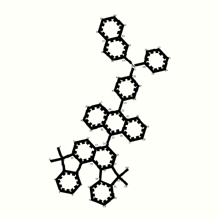 CC1(C)c2ccccc2-c2c1ccc1c(-c3c4ccccc4c(-c4ccc(N(c5ccccc5)c5ccc6ccccc6c5)cc4)c4ccccc34)cc3c(c21)-c1ccccc1C3(C)C